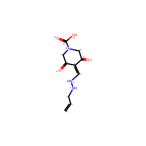 C=CCNNC=C1C(=O)CN(C(=O)O)CC1=O